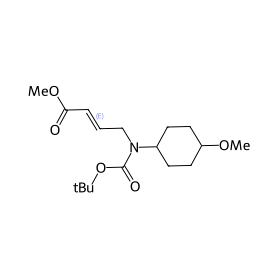 COC(=O)/C=C/CN(C(=O)OC(C)(C)C)C1CCC(OC)CC1